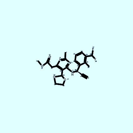 C#C[C@@H](Nc1nc(C)nc(CC(=O)OC)c1C1OCCO1)c1cccc(C(F)F)c1C